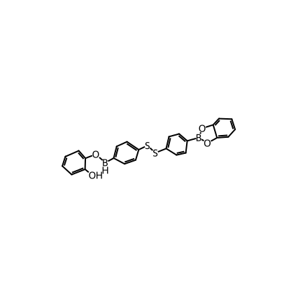 Oc1ccccc1OBc1ccc(SSc2ccc(B3Oc4ccccc4O3)cc2)cc1